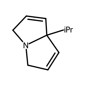 CC(C)C12C=CCN1CC=C2